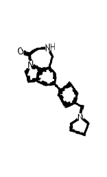 O=C1CNCc2cc(-c3ccc(CN4CCCC4)cc3)cc3ccn1c23